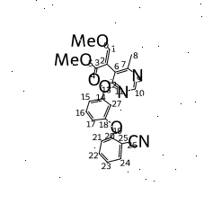 CO/C=C(\C(=O)OC)c1c(C)ncnc1Oc1cccc(Oc2ccccc2C#N)c1